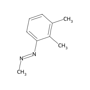 C/N=N/c1cccc(C)c1C